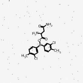 Cc1ccc(B(OC(=O)C(N)CC(N)=O)c2ccc(C)c(Cl)c2)cc1Cl